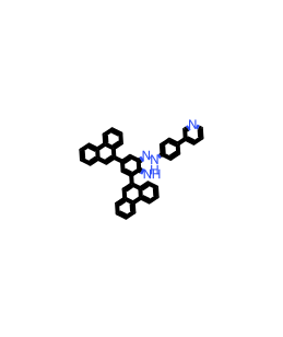 N=C1C(c2cc3ccccc3c3ccccc23)=CC(c2cc3ccccc3c3ccccc23)=C/C1=N/Nc1ccc(-c2cccnc2)cc1